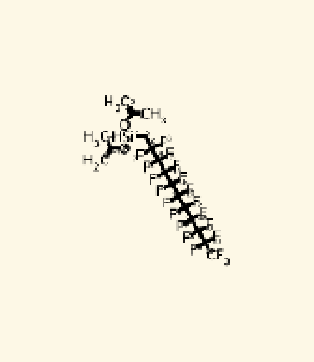 C=C(C)O[SiH](CC(F)(F)C(F)(F)C(F)(F)C(F)(F)C(F)(F)C(F)(F)C(F)(F)C(F)(F)C(F)(F)C(F)(F)F)OC(=C)C